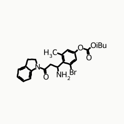 Cc1cc(OC(=O)OCC(C)C)cc(Br)c1C(N)CC(=O)N1CCc2ccccc21